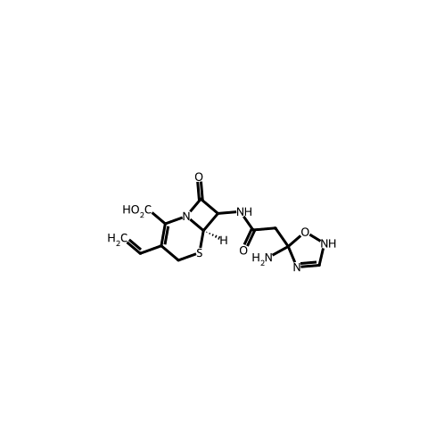 C=CC1=C(C(=O)O)N2C(=O)C(NC(=O)CC3(N)N=CNO3)[C@H]2SC1